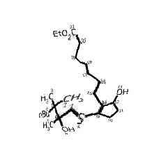 CCCCC(C)(C)C(C)(O)CSC1CCC(O)C1CCCCCCC(=O)OCC